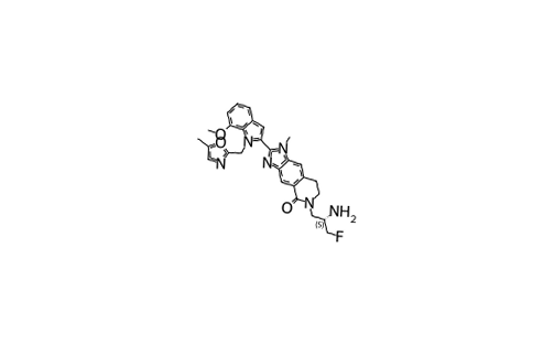 COc1cccc2cc(-c3nc4cc5c(cc4n3C)CCN(C[C@H](N)CF)C5=O)n(Cc3ncc(C)o3)c12